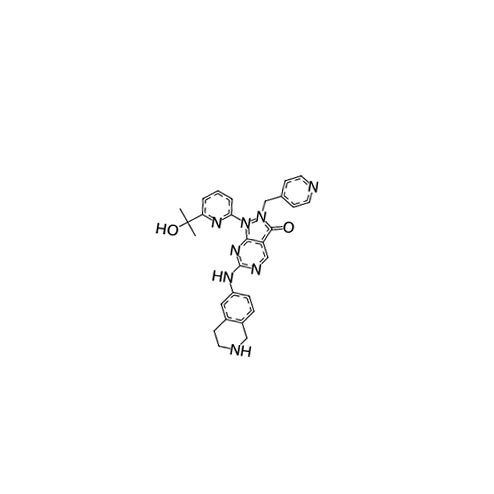 CC(C)(O)c1cccc(-n2c3nc(Nc4ccc5c(c4)CCNC5)ncc3c(=O)n2Cc2ccncc2)n1